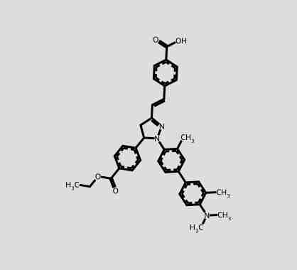 CCOC(=O)c1ccc(C2CC(/C=C/c3ccc(C(=O)O)cc3)=NN2c2ccc(-c3ccc(N(C)C)c(C)c3)cc2C)cc1